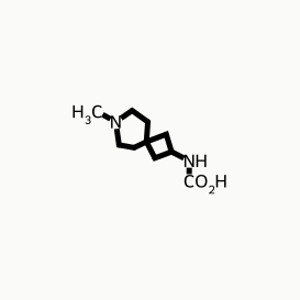 CN1CCC2(CC1)CC(NC(=O)O)C2